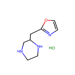 Cl.c1coc(CC2CNCCN2)n1